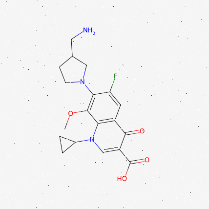 COc1c(N2CCC(CN)C2)c(F)cc2c(=O)c(C(=O)O)cn(C3CC3)c12